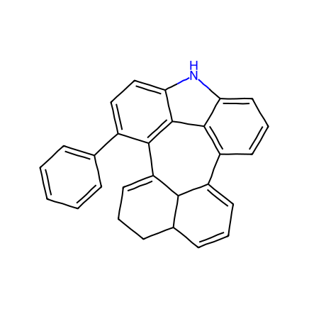 C1=CC2CCC=C3c4c(-c5ccccc5)ccc5[nH]c6cccc(c6c45)C(=C1)C32